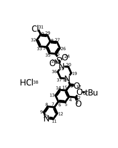 CC(C)(C)OC(=O)c1cc(-c2ccncc2)ccc1C(=O)N1CCN(S(=O)(=O)c2ccc3cc(Cl)ccc3c2)CC1.Cl